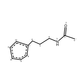 [CH2]C(=O)NCCCc1ccccc1